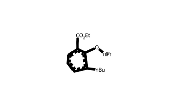 CCCCc1cccc(C(=O)OCC)c1OCCC